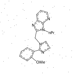 CCCn1c(Cn2ccnc2-c2ccccc2OC)nc2cccnc21